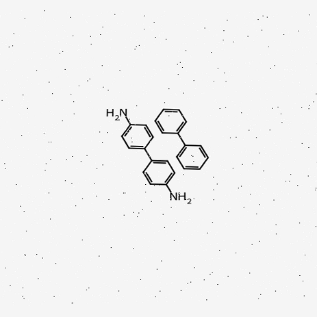 Nc1ccc(-c2ccc(N)cc2)cc1.c1ccc(-c2ccccc2)cc1